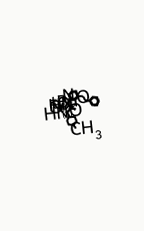 CC1CCC([C@H](NC(=O)OC(C)(C)C)C(=O)Nc2cc(OCc3ccccc3)ccn2)CC1